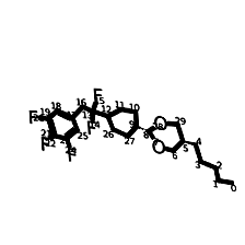 CCCCC[C@H]1CO[C@H](C2CCC(C(F)(F)Cc3cc(F)c(F)c(F)c3)CC2)OC1